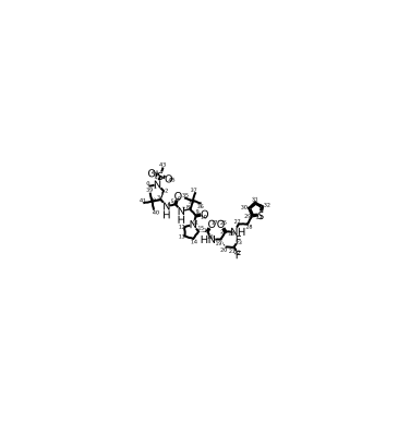 CN(C[C@@H](NC(=O)N[C@H](C(=O)N1CCC[C@H]1C(=O)N[C@@H](CC(F)F)C(=O)NCCc1cccs1)C(C)(C)C)C(C)(C)C)S(C)(=O)=O